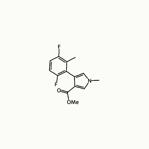 COC(=O)c1cn(C)cc1-c1c(F)ccc(F)c1C